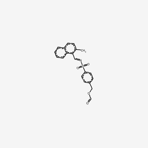 Cc1ccc2ccccc2c1/C=N/S(=O)(=O)c1ccc(COC=O)cc1